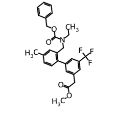 CCN(Cc1cc(C)ccc1-c1cc(CC(=O)OC)cc(C(F)(F)F)c1)C(=O)OCc1ccccc1